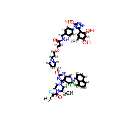 C=C(F)C(=O)N1CCN(c2nc(OC[C@@H]3CCN(CCCOC=CC(=O)NCc4ccc(-n5c(O)nnc5-c5cc(C(C)C)c(O)cc5O)cc4)C3)nc3c2CCN(c2cccc4cccc(Cl)c24)C3)C[C@@H]1CC#N